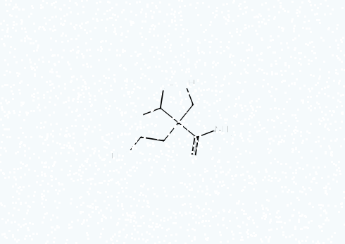 CCCC(CC)(C(N)=O)C(C)C